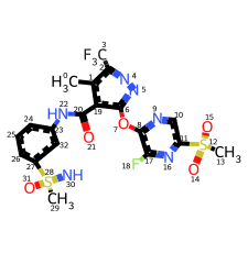 Cc1c(C(F)(F)F)nnc(Oc2ncc(S(C)(=O)=O)nc2F)c1C(=O)Nc1cccc(S(C)(=N)=O)c1